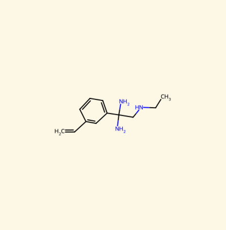 C=Cc1cccc(C(N)(N)CNCC)c1